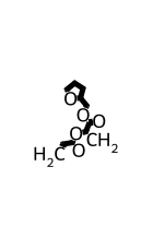 C=CC(=O)OC(=C)C(=O)OCC1CCCO1